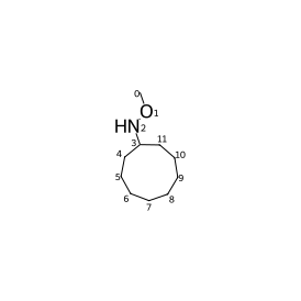 CONC1CCCCCCCC1